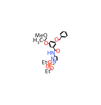 CCOP(=O)(Cn1ccc(NC(=O)c2cc(OCc3ccccc3)cc(O[C@@H](C)COC)c2)n1)OCC